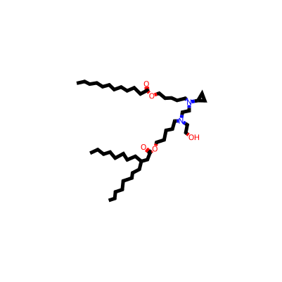 CCCCCCCCCCCC(=O)OCCCCCN(CCN(CCO)CCCCCOC(=O)CC(CCCCCCCC)CCCCCCCC)C1CC1